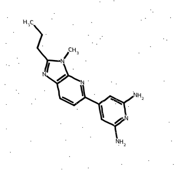 CCCc1nc2ccc(-c3cc(N)nc(N)c3)nc2n1C